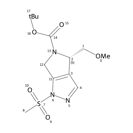 COC[C@@H]1c2cnn(S(C)(=O)=O)c2CN1C(=O)OC(C)(C)C